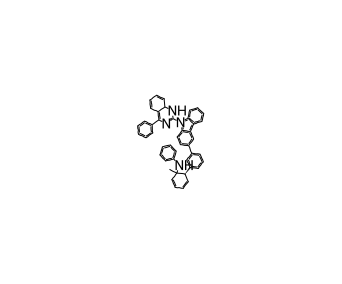 CC1(Nc2ccccc2)C=CC=C[C@@H]1c1cccc(-c2ccc3c(c2)c2ccccc2n3C2=NC(c3ccccc3)=C3C=CC=CC3N2)c1